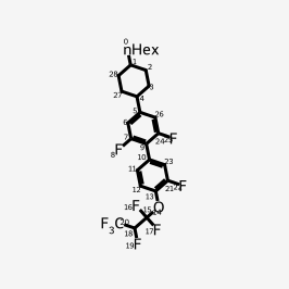 CCCCCCC1CCC(c2cc(F)c(-c3ccc(OC(F)(F)C(F)C(F)(F)F)c(F)c3)c(F)c2)CC1